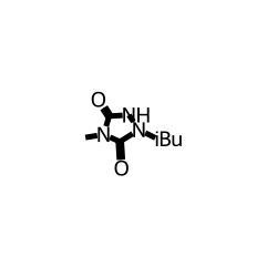 CCC(C)n1[nH]c(=O)n(C)c1=O